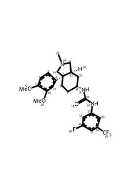 COc1ccc([C@@]23CC[C@@H](NC(=O)Nc4cc(F)cc(C(F)(F)F)c4)C[C@@H]2CN(C)C3)cc1OC